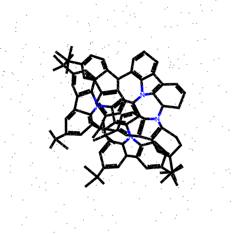 CC(C)(C)C1=CC2c3cc(C(C)(C)C)ccc3N3c4cc(-n5c6c(c7cccc(C8c9ccc(C(C)(C)C)cc9-c9cc(C(C)(C)C)ccc98)c75)C=CCC6n5c6c(c7cc(C(C)(C)C)ccc75)C=C(C(C)(C)C)CC6)cc5c4B(C(=C1)C23)c1cc(C(C)(C)C)cc2c3cc(C(C)(C)C)ccc3n-5c12